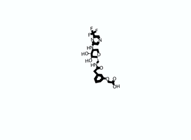 O=C(O)COc1cccc(CC(=O)NC[C@H]2OC[C@H](Nc3cncc(C(F)(F)F)n3)[C@@H](O)[C@H]2O)c1